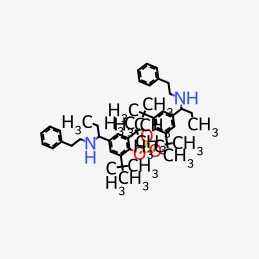 CCC(NCCc1ccccc1)c1cc(C(C)(C)C)c(OS(=O)Oc2c(C(C)(C)C)cc(C(CC)NCCc3ccccc3)cc2C(C)(C)C)c(C(C)(C)C)c1